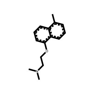 Cc1cccc2c(OCCN(C)C)cccc12